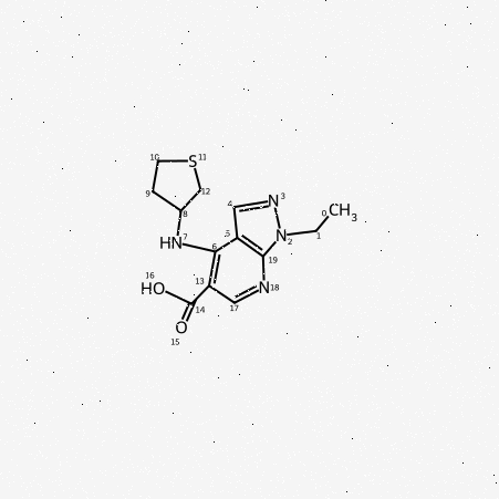 CCn1ncc2c(NC3CCSC3)c(C(=O)O)cnc21